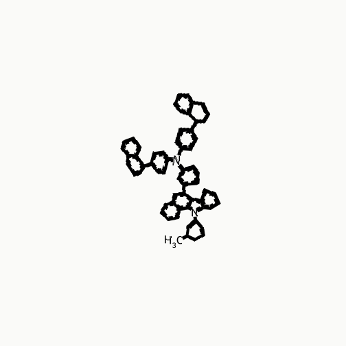 CC1C=C(n2c3ccccc3c3c(-c4cccc(N(c5ccc(-c6cccc7ccccc67)cc5)c5ccc(C6CC=Cc7ccccc76)cc5)c4)cc4ccccc4c32)C=CC1